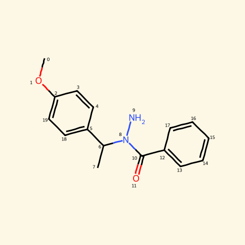 COc1ccc(C(C)N(N)C(=O)c2ccccc2)cc1